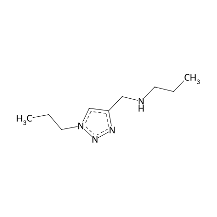 CCCNCc1cn(CCC)nn1